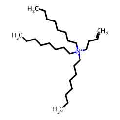 C=CCC[N+](CCCCCCCC)(CCCCCCCC)CCCCCCCC